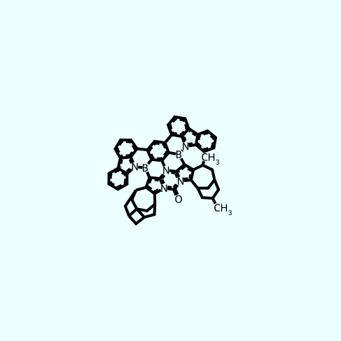 CC1CC2CC(C)c3c4c5n6c7c(c8c(n7c(=O)n5c3C(C1)C2)C1CC2CC3CC8CC32C1)B1c2c(cc3c(c2-6)B4n2c4ccccc4c4cccc-3c42)-c2cccc3c4ccccc4n1c23